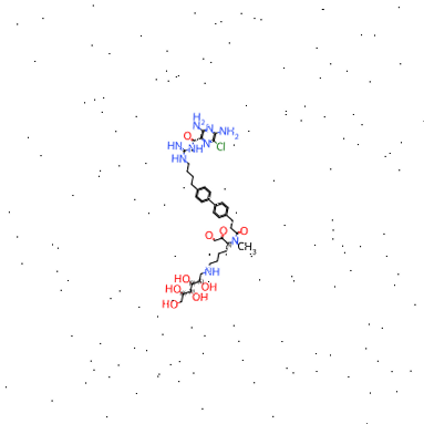 CN(C(=O)CCc1ccc(-c2ccc(CCCCNC(=N)NC(=O)c3nc(Cl)c(N)nc3N)cc2)cc1)[C@@H](CCCCNC[C@H](O)[C@@H](O)[C@H](O)[C@H](O)CO)C(=O)C=O